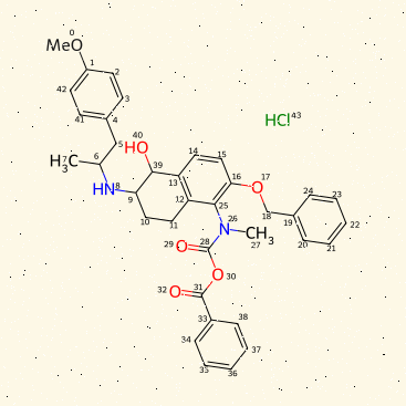 COc1ccc(CC(C)NC2CCc3c(ccc(OCc4ccccc4)c3N(C)C(=O)OC(=O)c3ccccc3)C2O)cc1.Cl